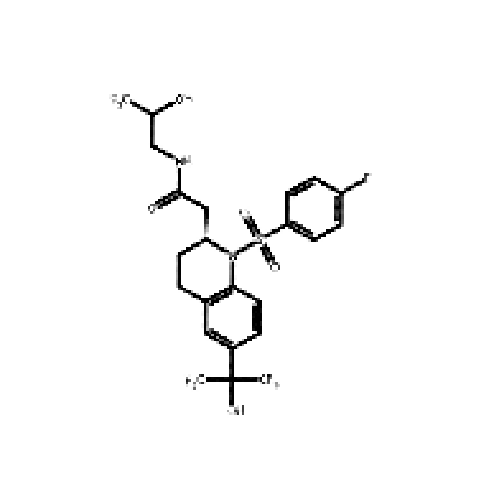 O=C(C[C@@H]1CCc2cc(C(O)(C(F)(F)F)C(F)(F)F)ccc2N1S(=O)(=O)c1ccc(F)cc1)NCC(O)C(F)(F)F